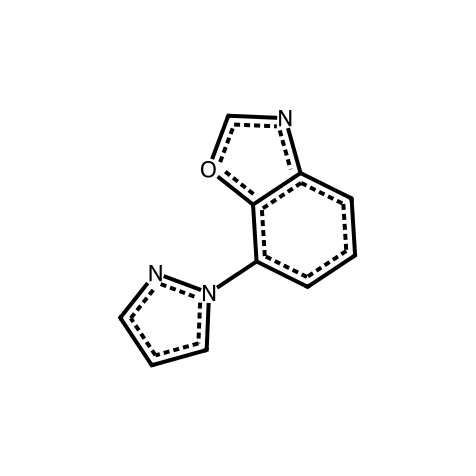 c1cc(-n2cccn2)c2ocnc2c1